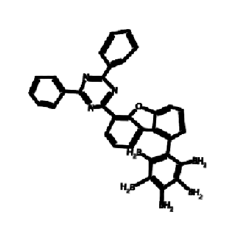 Bc1c(B)c(B)c(-c2cccc3oc4c(-c5nc(-c6ccccc6)nc(-c6ccccc6)n5)cccc4c23)c(B)c1B